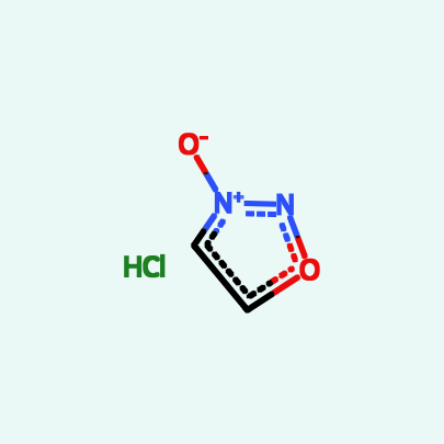 Cl.[O-][n+]1ccon1